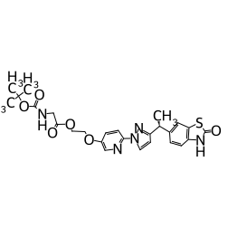 C[C@@H](c1ccc2[nH]c(=O)sc2c1)c1ccn(-c2ccc(OCCOC(=O)CNC(=O)OC(C)(C)C)cn2)n1